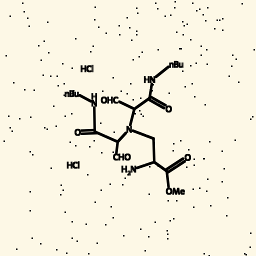 CCCCNC(=O)C(C=O)N(CC(N)C(=O)OC)C(C=O)C(=O)NCCCC.Cl.Cl